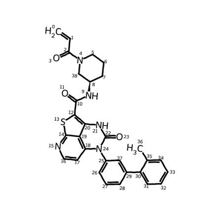 C=CC(=O)N1CCC[C@@H](NC(=O)c2sc3nccc4c3c2NC(=O)N4c2cccc(-c3ccccc3C)c2)C1